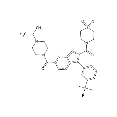 CC(C)N1CCN(C(=O)c2ccc3c(c2)cc(C(=O)N2CCS(=O)(=O)CC2)n3-c2cccc(C(F)(F)F)c2)CC1